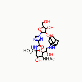 CC(=O)NC1C(O)CC(NC(=O)c2ncn(C3OC(CO)C(O)C3O)n2)(C(=O)O)OC1C(O)CNC12CC3CC(CC(C3)C1)C2